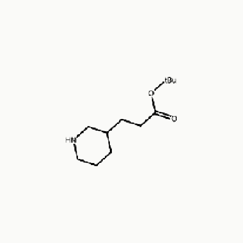 CC(C)(C)OC(=O)CCC1CCCNC1